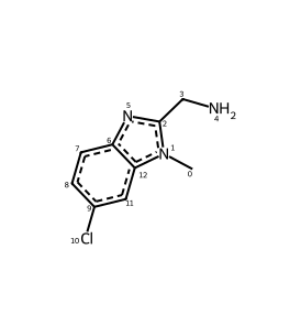 Cn1c(CN)nc2ccc(Cl)cc21